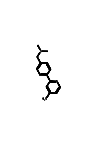 CN(C)Cc1ccc(-c2cc(N)ccn2)cc1